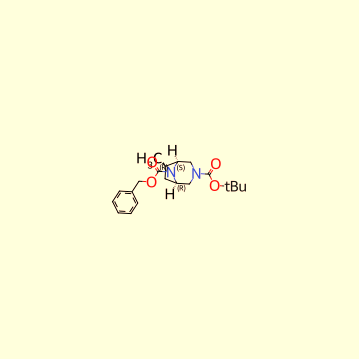 C[C@@H]1C[C@@H]2CN(C(=O)OC(C)(C)C)C[C@H]1N2C(=O)OCc1ccccc1